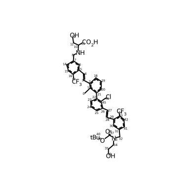 Cc1c(/C=C/c2cc(CNC(CO)C(=O)O)ccc2C(F)(F)F)cccc1-c1cccc(/C=C/c2cc(CN(CCO)C(=O)OC(C)(C)C)ccc2C(F)(F)F)c1Cl